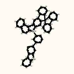 c1cc(-c2ccc3c(c2)sc2ccccc23)cc(-n2c3cc4c(cc3c3c5ccccc5ccc32)-c2ccccc2C42c3ccccc3-c3ccccc32)c1